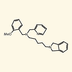 COc1ccccc1CN(CCCCCN1Cc2ccccc2C1)Cc1ccccn1